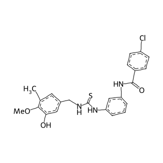 COc1c(C)cc(CNC(=S)Nc2cccc(NC(=O)c3ccc(Cl)cc3)c2)cc1O